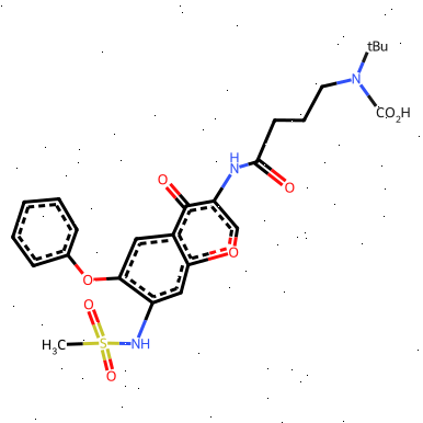 CC(C)(C)N(CCCC(=O)Nc1coc2cc(NS(C)(=O)=O)c(Oc3ccccc3)cc2c1=O)C(=O)O